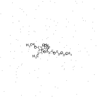 CCCP(CC)(CC)(CCOCC)OC(=O)CCOCCOCC